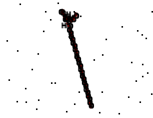 COCCOCCOCCOCCOCCOCCOCCOCCOCCOCCOCCOCCOCCOCCOCCOCCOCCOCCOCCOCCOCCOCCOCCOCCC(=O)NCCCC[C@H](NC(=O)[C@@H](NC(=O)CCCC(=O)C(C)C)C(C)C)C(=O)Nc1ccc(COC(=O)C(C)C)cc1